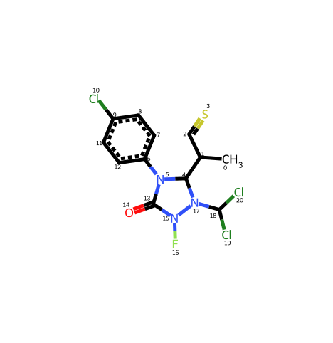 CC(C=S)C1N(c2ccc(Cl)cc2)C(=O)N(F)N1C(Cl)Cl